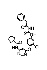 O=C(Cc1ccccc1)NC(=S)Nc1ccc(Oc2cc(NC(=O)N3CCCC3)ncn2)c(Cl)c1